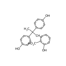 CC(C)(c1ccc(O)cc1)c1ccc(O)cc1.O=C(O)c1ccccc1O